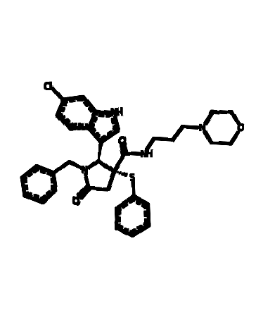 O=C1C[C@](Sc2ccccc2)(C(=O)NCCCN2CCOCC2)[C@H](c2c[nH]c3cc(Cl)ccc23)N1Cc1ccccc1